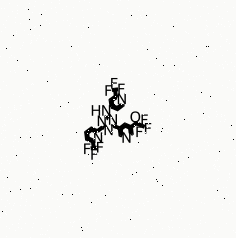 O=C(c1cncc(-c2nc(Nc3ccnc(C(F)(F)F)c3)nc(-c3cccc(C(F)(F)F)n3)n2)c1)C(F)(F)F